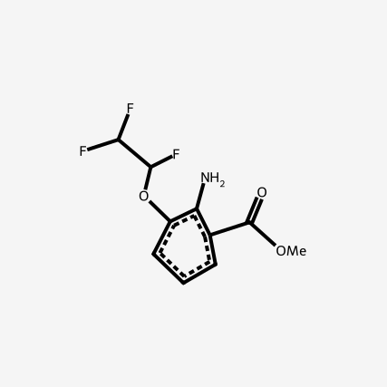 COC(=O)c1cccc(OC(F)C(F)F)c1N